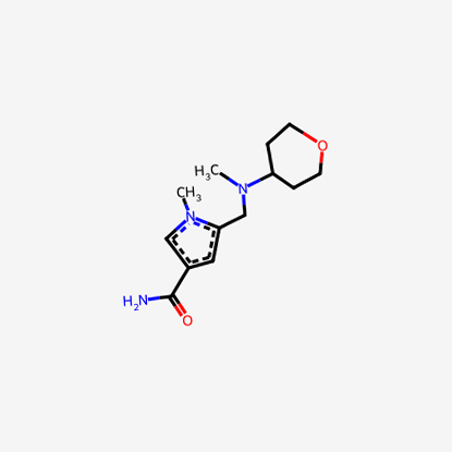 CN(Cc1cc(C(N)=O)cn1C)C1CCOCC1